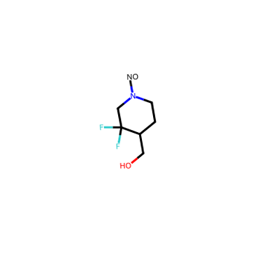 O=NN1CCC(CO)C(F)(F)C1